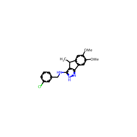 COc1cc2c(cc1OC)C(C)c1c-2n[nH]c1NCc1cccc(Cl)c1